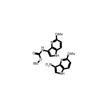 COc1ccc2[nH]cc(NC(=O)OC(C)(C)C)c2n1.COc1ccc2[nH]cc([N+](=O)[O-])c2n1